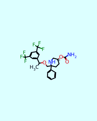 CC(OCC1(c2ccccc2)CC[C@H](OC(N)=O)CN1)c1cc(C(F)(F)F)cc(C(F)(F)F)c1